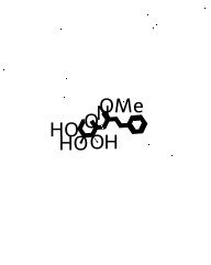 CO/N=C(\CCc1ccccc1)CC1OC[C@@H](O)[C@H](O)[C@H]1O